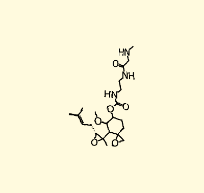 CNCC(=O)NCCNC(=O)OC1CC[C@]2(CO2)C(C2(C)O[C@@H]2CC=C(C)C)C1OC